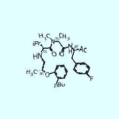 CCCCc1ccccc1O[C@H](C)CN[C@H](C(=O)N(C)[C@H](C)C(=O)N[C@H](Cc1ccc(F)cc1)C(C)=O)C(C)C